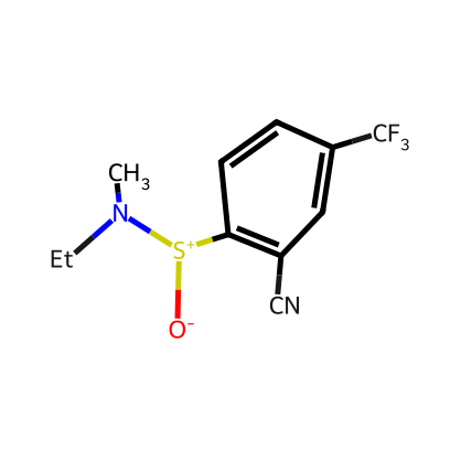 CCN(C)[S+]([O-])c1ccc(C(F)(F)F)cc1C#N